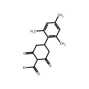 CCC(=O)C1C(=O)CC(c2c(C)cc(C)cc2C)CC1=O